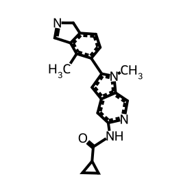 Cc1c(-c2cc3cc(NC(=O)C4CC4)ncc3n2C)ccc2c1C=NC2